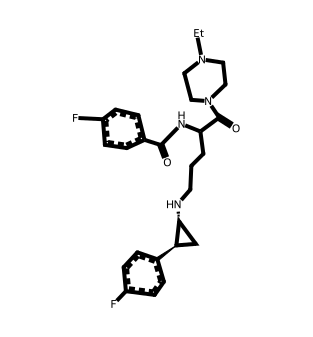 CCN1CCN(C(=O)C(CCCN[C@@H]2C[C@H]2c2ccc(F)cc2)NC(=O)c2ccc(F)cc2)CC1